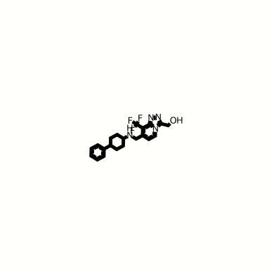 OCc1nnc2c(C(F)(F)F)c(CNC3CCC(c4ccccc4)CC3)ccn12